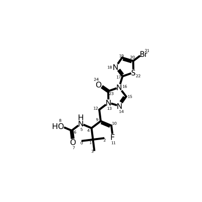 CC(C)(C)C(NC(=O)O)C(=CF)Cn1ncn(-c2ncc(Br)s2)c1=O